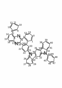 c1ccc(-c2nc3c(-c4ccccc4)cccc3nc2-c2ccc(-n3c4ccccc4c4cc5c(cc43)c3ccccc3n5-c3ccccc3)cc2)cc1